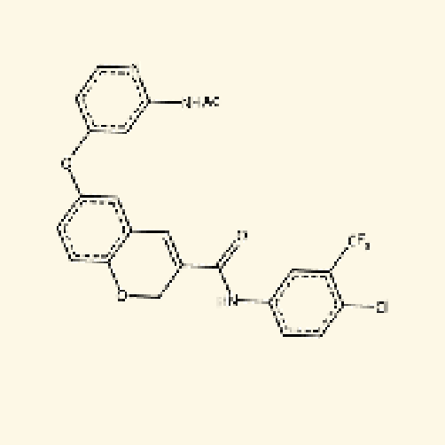 CC(=O)Nc1cc(Oc2ccc3c(c2)C=C(C(=O)Nc2ccc(Cl)c(C(F)(F)F)c2)CO3)ccn1